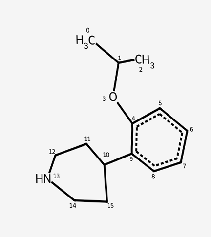 CC(C)Oc1ccccc1C1CCNCC1